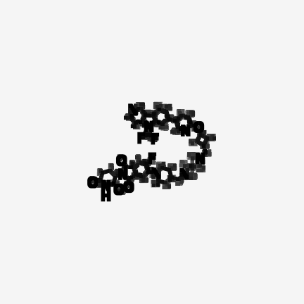 O=C1CCC(N2C(=O)c3cc(F)c(N4CCC(CN5CC6(C5)CN(CC5CC(Oc7ccc(-c8ccc9c%10cnccc%10n(C(F)F)c9c8)cn7)C5)C6)CC4)cc3C2=O)C(=O)N1